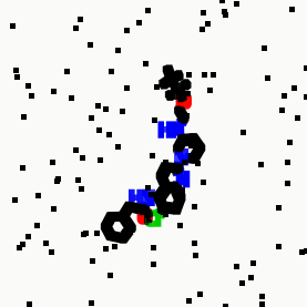 CC(C)(C)[Si](C)(C)OCCN[C@H]1CCCN(c2ccc3c(NC(=O)CC4CCCCC4)c(Cl)ccc3n2)C1